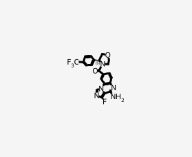 Nc1nc2ccc(C(=O)N3CCOC[C@@H]3c3ccc(C(F)(F)F)cc3)cc2n2cnc(F)c12